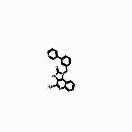 Nc1nc2ccccc2c2c1[nH]c(=O)n2Cc1cccc(-c2cccnc2)c1